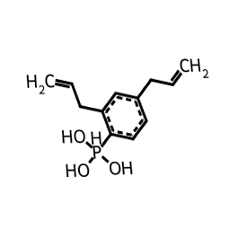 C=CCc1ccc([PH](O)(O)O)c(CC=C)c1